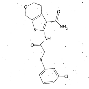 NC(=O)c1c(NC(=O)CSc2cccc(Cl)c2)sc2c1CCOC2